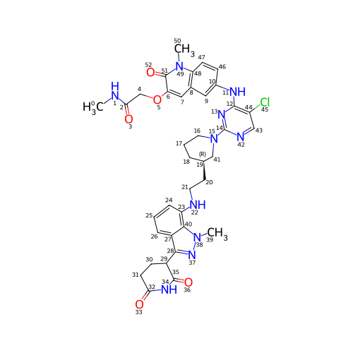 CNC(=O)COc1cc2cc(Nc3nc(N4CCC[C@H](CCNc5cccc6c(C7CCC(=O)NC7=O)nn(C)c56)C4)ncc3Cl)ccc2n(C)c1=O